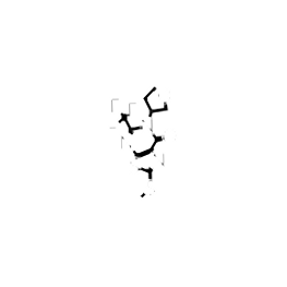 CSc1nc2c(=O)n(C3CCOC3)c(C(F)(F)F)nc2s1